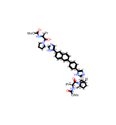 COC(=O)NC(C(=O)N1CCC[C@H]1c1ncc(-c2ccc3cc(-c4ccc(-c5cnc([C@@H]6[C@@H]7CC[C@@H](C7)N6C(=O)[C@@H](NC(=O)OC)C(C)C)[nH]5)cc4)ccc3c2)[nH]1)C(C)C